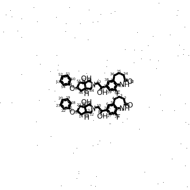 O=C1CCCc2cc(C(O)CN3C[C@H]4C[C@H](Oc5ccccc5)C[C@@]4(O)C3)cc(F)c2N1.O=C1CCCc2cc(C(O)CN3C[C@H]4C[C@H](Oc5ccccc5)C[C@@]4(O)C3)cc(F)c2N1